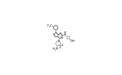 NC1CCN(c2nc(N[C@H]3C[C@H](O)C3)nc3c2cnn3-c2cccc(C(F)(F)F)c2)CC1(F)F